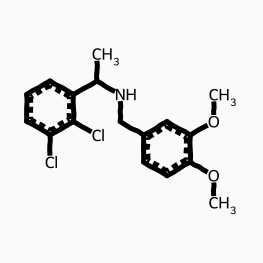 COc1ccc(CNC(C)c2cccc(Cl)c2Cl)cc1OC